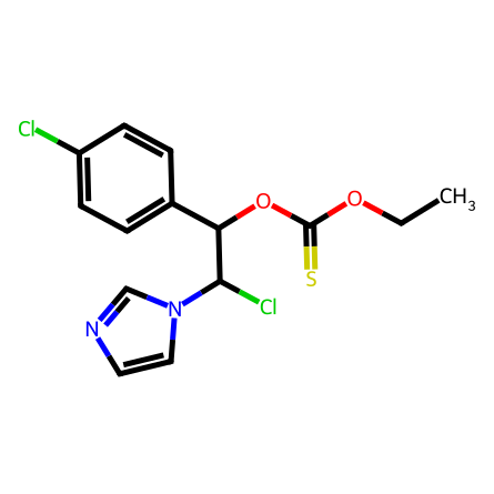 CCOC(=S)OC(c1ccc(Cl)cc1)C(Cl)n1ccnc1